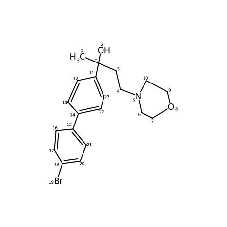 CC(O)(CCN1CCOCC1)c1ccc(-c2ccc(Br)cc2)cc1